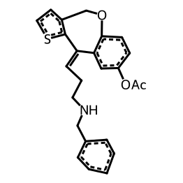 CC(=O)Oc1ccc2c(c1)/C(=C\CCNCc1ccccc1)c1sccc1CO2